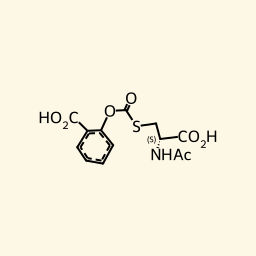 CC(=O)N[C@H](CSC(=O)Oc1ccccc1C(=O)O)C(=O)O